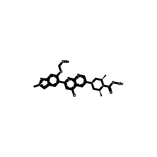 COCOc1cc2nn(C)cc2cc1-c1cc(Cl)c2cc(N3C[C@@H](C)N(C(=O)OC(C)(C)C)[C@@H](C)C3)cnc2n1